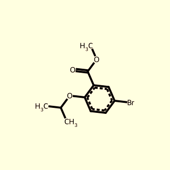 COC(=O)c1cc(Br)ccc1OC(C)C